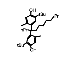 CCCC(CCCCCC(C)C)(c1cc(C(C)(C)C)c(O)cc1C)c1cc(C(C)(C)C)c(O)cc1C